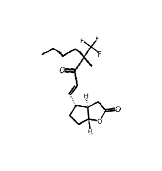 CCCCC(C)(C(=O)C=C[C@H]1CC[C@H]2OC(=O)C[C@H]12)C(F)(F)F